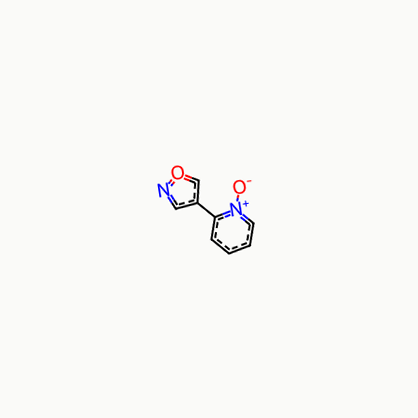 [O-][n+]1ccccc1-c1cnoc1